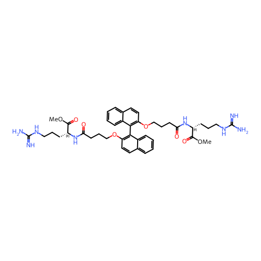 COC(=O)[C@@H](CCCNC(=N)N)NC(=O)CCCOc1ccc2ccccc2c1-c1c(OCCCC(=O)N[C@H](CCCNC(=N)N)C(=O)OC)ccc2ccccc12